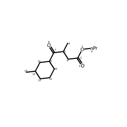 CCCOC(=O)CC(C)C(=O)C1CCCC(C)C1